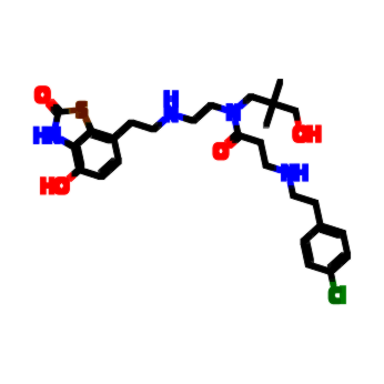 CC(C)(CO)CN(CCNCCc1ccc(O)c2[nH]c(=O)sc12)C(=O)CCNCCc1ccc(Cl)cc1